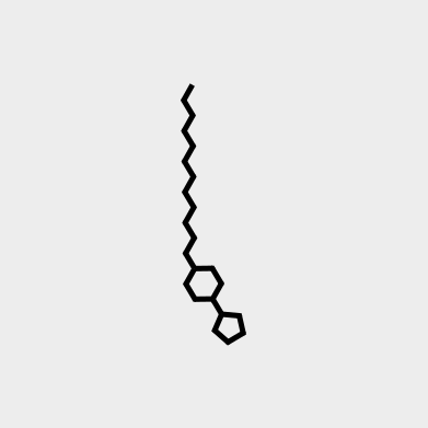 CCCCCCCCCCCCC1CC[C](C2CCCC2)CC1